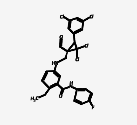 CCc1ccc(NC[C@@]2(C=O)C(c3cc(Cl)cc(Cl)c3)C2(Cl)Cl)cc1C(=O)Nc1ccc(F)cc1